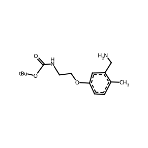 Cc1ccc(OCCNC(=O)OC(C)(C)C)cc1CN